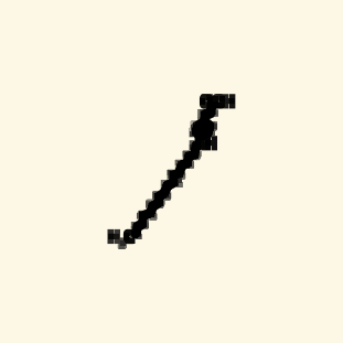 CCCCCCCCCCCCCCCCCCCNc1ccc(C=CC(=O)O)cc1